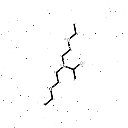 CCOCCN(CCOCC)C(C)O